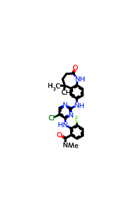 CNC(=O)c1cccc(F)c1Nc1nc(Nc2ccc3c(c2)C(C)(C)CCC(=O)N3)ncc1Cl